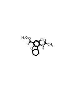 COC(=O)c1cc(Cl)c(NC(C)=O)c2c1OC1CCCC2C1